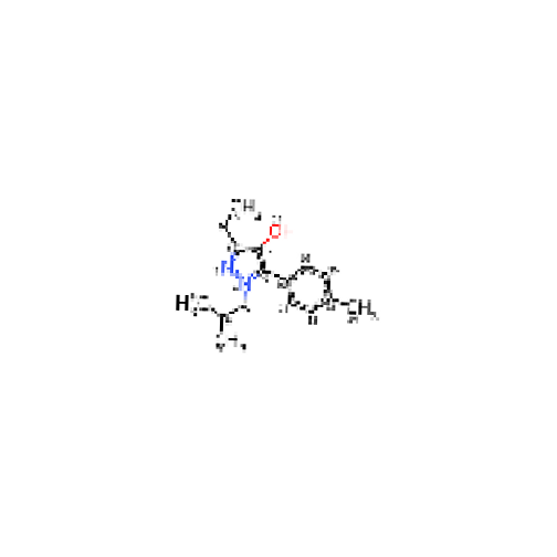 CCc1nn(CC(C)C)c(-c2ccc(C)cc2)c1O